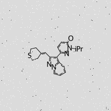 CC(C)n1nc(-c2c(C=C3CCSCC3)nn3ccccc23)ccc1=O